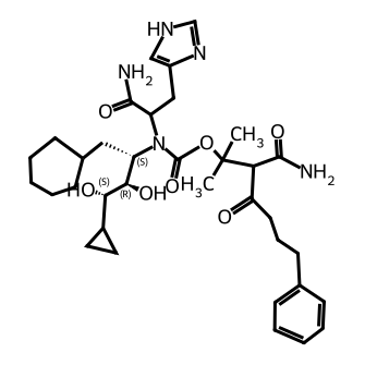 CC(C)(OC(=O)N(C(Cc1c[nH]cn1)C(N)=O)[C@@H](CC1CCCCC1)[C@@H](O)[C@@H](O)C1CC1)C(C(N)=O)C(=O)CCCc1ccccc1